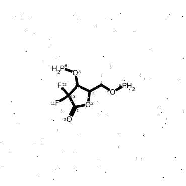 O=C1OC(COP)C(OP)C1(F)F